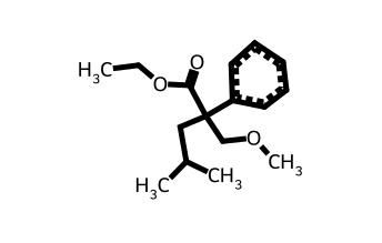 CCOC(=O)C(COC)(CC(C)C)c1ccccc1